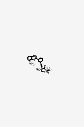 [2H]C([2H])([2H])N1CCC(O)(C#Cc2cccc(-c3ncc4ccnc(N)c4n3)c2)C1=O